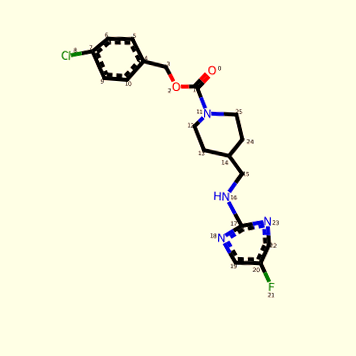 O=C(OCc1ccc(Cl)cc1)N1CCC(CNc2ncc(F)cn2)CC1